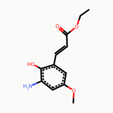 CCOC(=O)C=Cc1cc(OC)cc(N)c1O